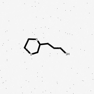 SCCCC1CSCCS1